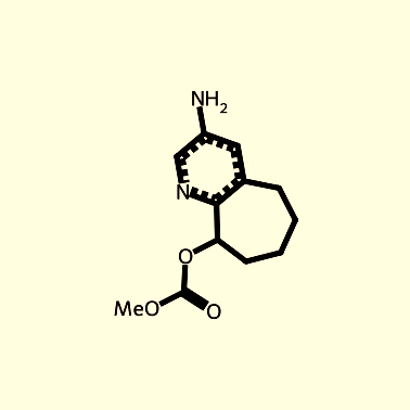 COC(=O)OC1CCCCc2cc(N)cnc21